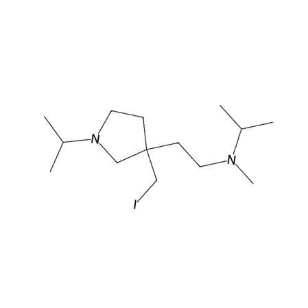 CC(C)N(C)CCC1(CI)CCN(C(C)C)C1